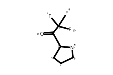 O=C(C1CCC[N]1)C(F)(F)F